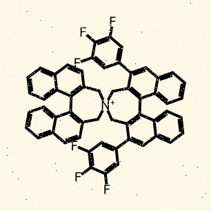 Fc1cc(-c2cc3ccccc3c3c2C[N+]2(Cc4ccc5ccccc5c4-c4c(ccc5ccccc45)C2)Cc2c(-c4cc(F)c(F)c(F)c4)cc4ccccc4c2-3)cc(F)c1F